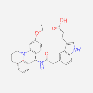 CCOc1ccc(C(NC(=O)Cc2ccc3[nH]cc(CCC(=O)O)c3c2)c2ccccc2)c(N2CCCCC2)c1